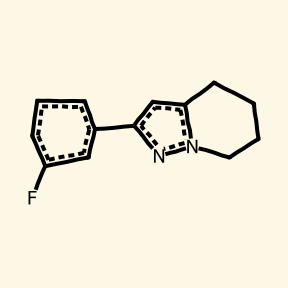 Fc1cccc(-c2cc3n(n2)CCCC3)c1